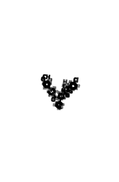 COc1ccc(N2CCN(C(=O)[C@@H]3CN(S(=O)(=O)c4sc5ccc(Cl)cc5c4C)C[C@H]3c3ccccc3)CC2)cc1